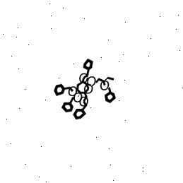 CC[C@H](CCO[C@H]1OC(COCc2ccccc2)[C@H](OCc2ccccc2)C(OCc2ccccc2)CC1OCc1ccccc1)OCc1ccccc1